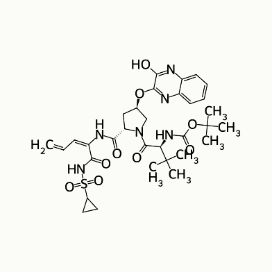 C=C/C=C(/NC(=O)[C@@H]1C[C@@H](Oc2nc3ccccc3nc2O)CN1C(=O)[C@@H](NC(=O)OC(C)(C)C)C(C)(C)C)C(=O)NS(=O)(=O)C1CC1